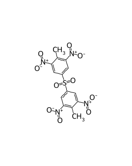 Cc1c([N+](=O)[O-])cc(S(=O)(=O)c2cc([N+](=O)[O-])c(C)c([N+](=O)[O-])c2)cc1[N+](=O)[O-]